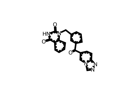 O=C(c1cccc(Cn2c(=O)[nH]c(=O)c3ccccc32)c1)c1ccc2nncn2c1